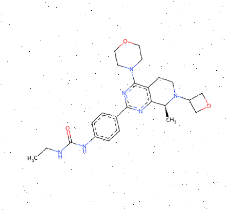 CCNC(=O)Nc1ccc(-c2nc3c(c(N4CCOCC4)n2)CCN(C2COC2)[C@H]3C)cc1